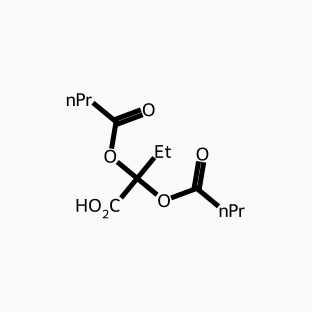 CCCC(=O)OC(CC)(OC(=O)CCC)C(=O)O